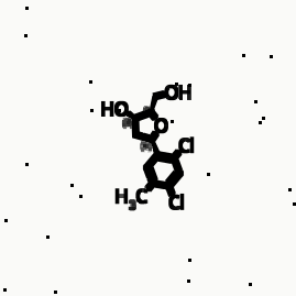 Cc1cc([C@H]2C[C@@H](O)[C@@H](CO)O2)c(Cl)cc1Cl